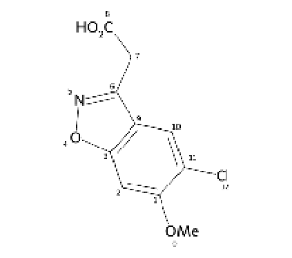 COc1cc2onc(CC(=O)O)c2cc1Cl